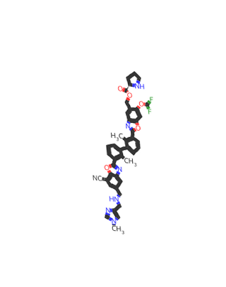 Cc1c(-c2nc3cc(COC(=O)[C@@H]4CCCN4)c(OC(F)F)cc3o2)cccc1-c1cccc(-c2nc3cc(CNCc4cn(C)cn4)cc(C#N)c3o2)c1C